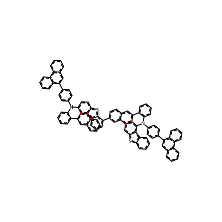 c1ccc(N(c2ccc(-c3cc4ccccc4c4ccccc34)cc2)c2ccc3sc4c(-c5ccc6cc(-c7ccccc7N(c7ccc(-c8cc9ccccc9c9ccccc89)cc7)c7cccc8sc9ccccc9c78)ccc6c5)cccc4c3c2)c(-c2ccc3ccccc3c2)c1